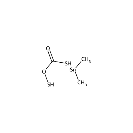 O=C(S)OS.[CH3][Sn][CH3]